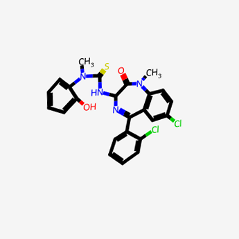 CN(C(=S)NC1N=C(c2ccccc2Cl)c2cc(Cl)ccc2N(C)C1=O)c1ccccc1O